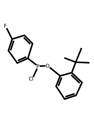 CC(C)(C)c1ccccc1OP(Cl)c1ccc(F)cc1